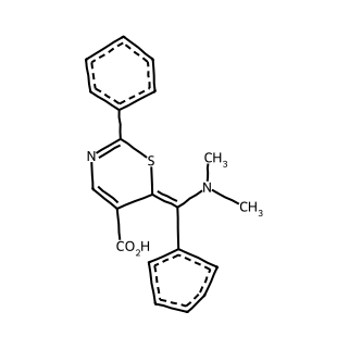 CN(C)C(=C1SC(c2ccccc2)=NC=C1C(=O)O)c1ccccc1